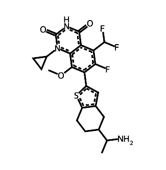 COc1c(-c2cc3c(s2)CCC(C(C)N)C3)c(F)c(C(F)F)c2c(=O)[nH]c(=O)n(C3CC3)c12